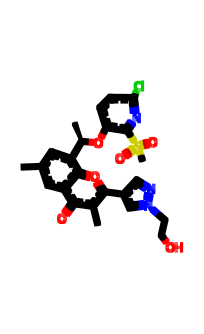 Cc1cc([C@@H](C)Oc2ccc(Cl)nc2S(C)(=O)=O)c2oc(-c3cnn(CCO)c3)c(C)c(=O)c2c1